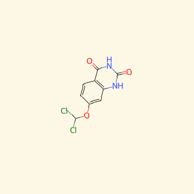 O=c1[nH]c(=O)c2ccc(OC(Cl)Cl)cc2[nH]1